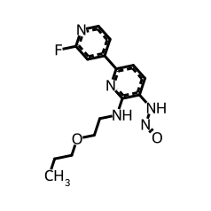 CCCOCCNc1nc(-c2ccnc(F)c2)ccc1NN=O